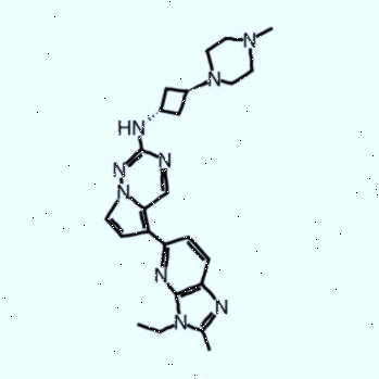 CCn1c(C)nc2ccc(-c3ccn4nc(N[C@H]5C[C@H](N6CCN(C)CC6)C5)ncc34)nc21